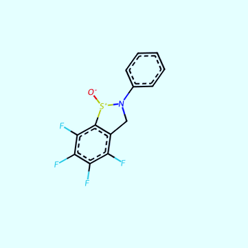 [O-][S+]1c2c(F)c(F)c(F)c(F)c2CN1c1ccccc1